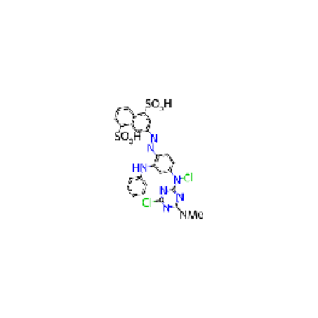 CNc1nc(Cl)nc(N(Cl)c2ccc(N=Nc3cc(S(=O)(=O)O)c4cccc(S(=O)(=O)O)c4c3)c(Nc3ccccc3)c2)n1